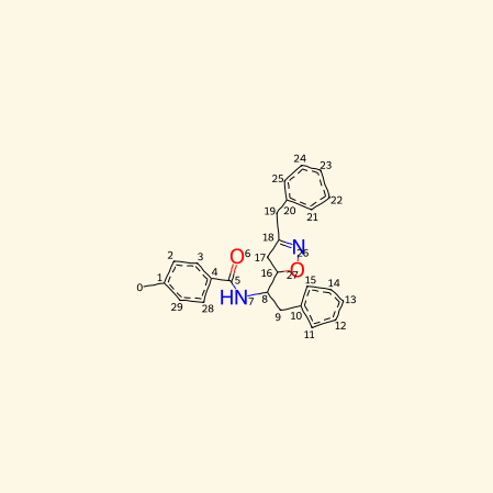 Cc1ccc(C(=O)NC(Cc2ccccc2)C2CC(Cc3ccccc3)=NO2)cc1